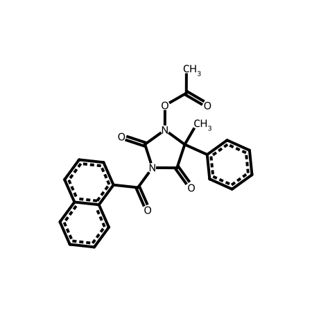 CC(=O)ON1C(=O)N(C(=O)c2cccc3ccccc23)C(=O)C1(C)c1ccccc1